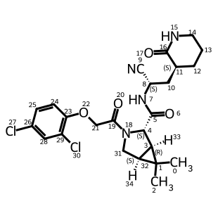 CC1(C)[C@@H]2[C@@H](C(=O)N[C@H](C#N)C[C@@H]3CCCNC3=O)N(C(=O)COc3ccc(Cl)cc3Cl)C[C@@H]21